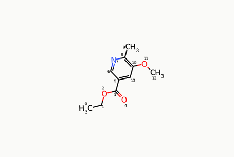 CCOC(=O)c1cnc(C)c(OC)c1